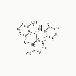 Oc1ccccc1C(Nc1ccccn1)c1cccc(Cl)c1Cl